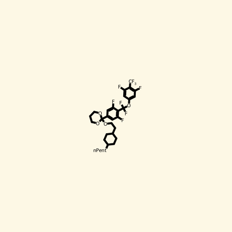 CCCCCC1CCC(CCOC2(c3cc(F)c(C(F)(F)Oc4cc(F)c(C(F)(F)F)c(F)c4)c(F)c3)OCCCO2)CC1